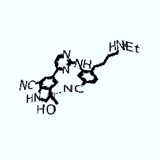 CCNCCCCc1ccc(C#N)cc1Nc1nccc(-c2cc(C#N)c3c(c2)[C@@](C)(CO)CN3)n1